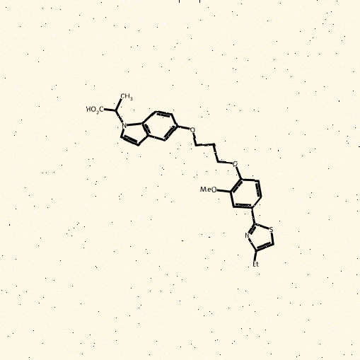 CCc1csc(-c2ccc(OCCCOc3ccc4c(ccn4C(C)C(=O)O)c3)c(OC)c2)n1